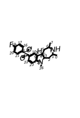 CC1CC2[C@H](CC(C)N1)c1cc(S(=O)(=O)c3ccc(F)cc3)ccc1N2C